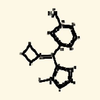 Cn1cnnc1C(=C1CCC1)c1cccc(N)c1